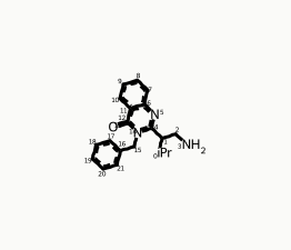 CC(C)C(CN)c1nc2ccccc2c(=O)n1Cc1ccccc1